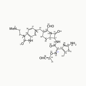 CNCCn1c(=O)[nH]c2c[n+](CC3=C(C=O)N4C(=O)C(NC(=O)/C(=N\O[C@@H](C)C=O)c5nc(N)sc5C)C4SC3)ccc21